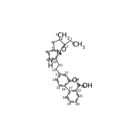 CCC(=O)C(C)Cc1c[nH]c(CCc2ccc(-c3ccccc3C(=O)O)cc2)n1